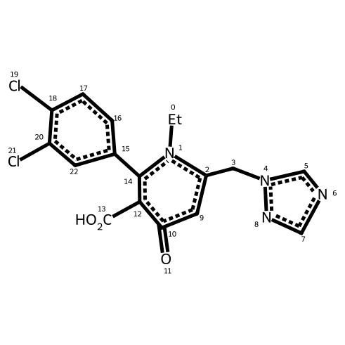 CCn1c(Cn2cncn2)cc(=O)c(C(=O)O)c1-c1ccc(Cl)c(Cl)c1